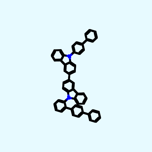 c1ccc(-c2ccc(-c3ccccc3-n3c4ccccc4c4cc(-c5ccc6c(c5)c5ccccc5n6-c5ccc(-c6ccccc6)cc5)ccc43)cc2)cc1